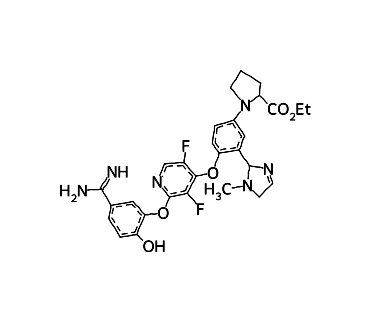 CCOC(=O)C1CCCN1c1ccc(Oc2c(F)cnc(Oc3cc(C(=N)N)ccc3O)c2F)c(C2N=CCN2C)c1